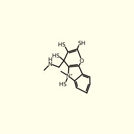 CNCC1(S)C(S)=C(S)OC2=C1[N+](C)(S)c1ccccc12